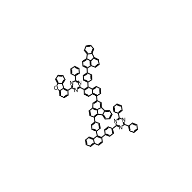 c1ccc(-c2nc(-c3ccccc3)nc(-c3ccc(-c4ccc5ccccc5c4-c4ccc(-c5ccc6cc(-c7cccc8c(-c9ccc(-c%10ccc%11c%12c(cccc%10%12)-c%10ccccc%10-%11)cc9)c(-c9nc(-c%10ccccc%10)nc(-c%10cccc%11oc%12ccccc%12c%10%11)n9)ccc78)cc7c6c5-c5ccccc5-7)cc4)cc3)n2)cc1